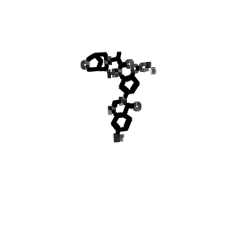 CC(C(=O)Nc1cc(-n2cnc3cc(Br)ccc3c2=O)ccc1OC(F)(F)F)N1CC2COCC(C2)C1